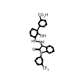 O=C(O)c1cccc(-c2cccc(NNC3C(=O)N(c4cccc(C(F)(F)F)c4)c4ccccc43)c2O)c1